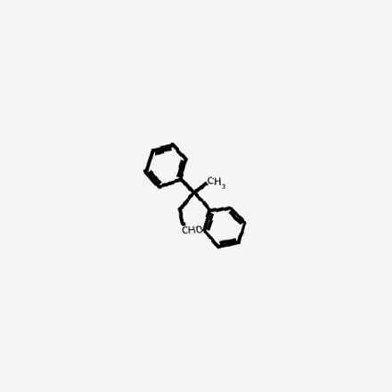 CC(C[C]=O)(c1ccccc1)c1ccccc1